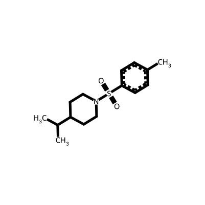 Cc1ccc(S(=O)(=O)N2CCC(C(C)C)CC2)cc1